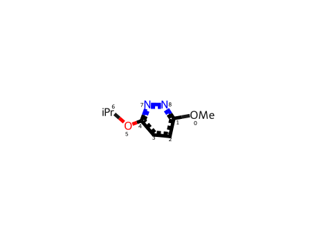 COc1ccc(OC(C)C)nn1